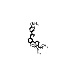 C/N=C(/N)C1CCC(c2cc(/C=C(\F)c3cnc(OC)cn3)ccc2F)S1(=O)=O